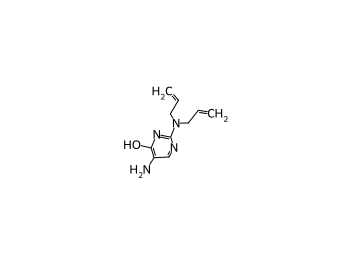 C=CCN(CC=C)c1ncc(N)c(O)n1